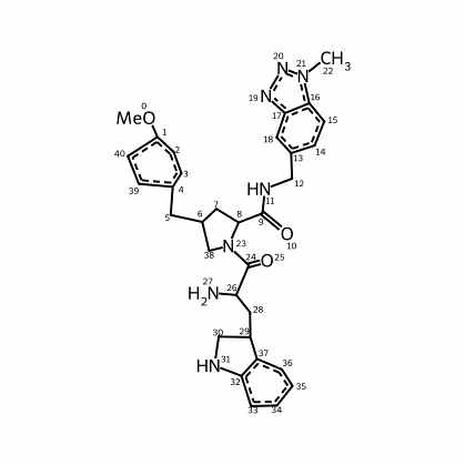 COc1ccc(CC2CC(C(=O)NCc3ccc4c(c3)nnn4C)N(C(=O)C(N)CC3CNc4ccccc43)C2)cc1